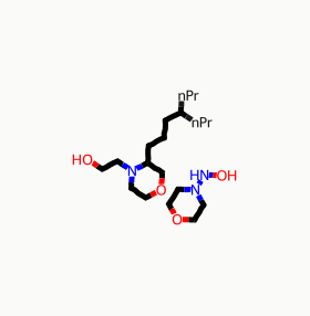 CCCC(CCC)CCCC1COCCN1CCO.ONN1CCOCC1